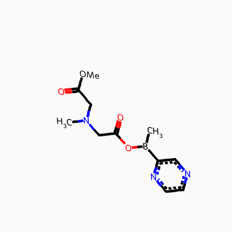 COC(=O)CN(C)CC(=O)OB(C)c1cnccn1